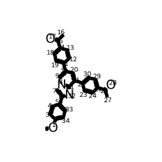 COc1ccc(-c2cn3cc(-c4ccc(C(C)=O)cc4)cc(-c4ccc(C(C)=O)cc4)c3n2)cc1